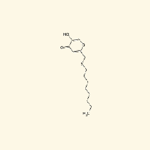 CCCCCCCCSCc1cc(=O)c(O)co1